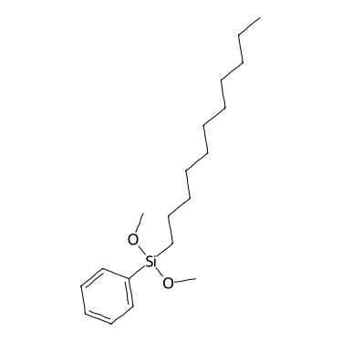 CCCCCCCCCCC[Si](OC)(OC)c1ccccc1